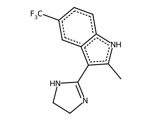 Cc1[nH]c2ccc(C(F)(F)F)cc2c1C1=NCCN1